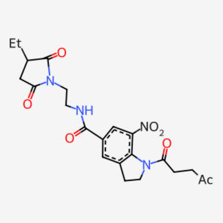 CCC1CC(=O)N(CCNC(=O)c2cc3c(c([N+](=O)[O-])c2)N(C(=O)CCC(C)=O)CC3)C1=O